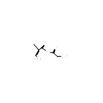 CCC=C(C)C(=O)OC(=O)COC(C)=O